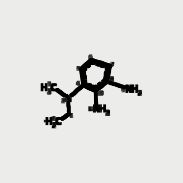 [CH2]CN(C)c1cccc(N)c1N